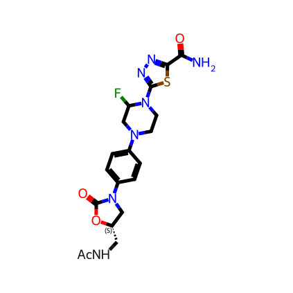 CC(=O)NC[C@H]1CN(c2ccc(N3CCN(c4nnc(C(N)=O)s4)C(F)C3)cc2)C(=O)O1